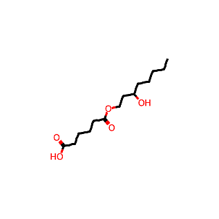 CCCCCC(O)CCOC(=O)CCCCC(=O)O